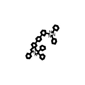 c1ccc(-c2nc(-c3ccccc3)nc(-c3cccc(-c4ccc(-c5ccc6cc(-c7ccccc7)n7nc(-c8ccccc8)c(-c8ccccc8)c7c6c5)cc4)c3)n2)cc1